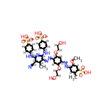 COc1cc(S(=O)(=O)O)c(C)cc1/N=N/c1cc(OCCO)c(/N=N/c2c(Nc3ccc(S(=O)(=O)O)cc3)nc(Nc3ccc(S(=O)(=O)O)cc3)c(C#N)c2C)cc1OCCO